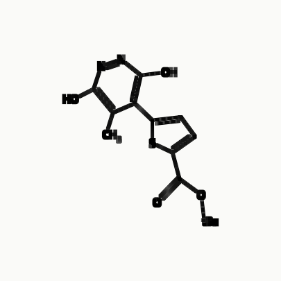 Cc1c(O)nnc(O)c1-c1ccc(C(=O)OC(C)(C)C)s1